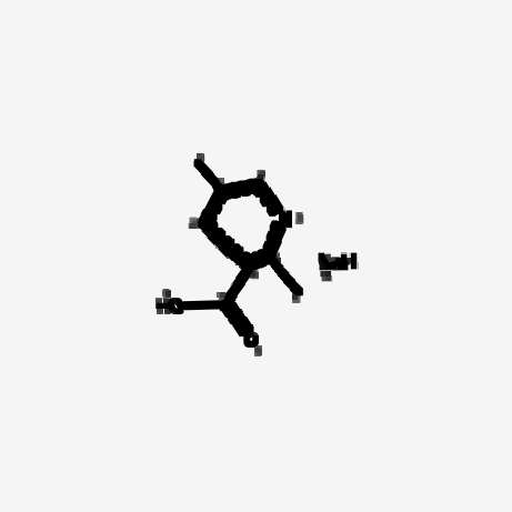 Cc1cnc(C)c(C(=O)O)c1.[NaH]